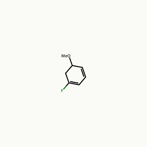 COC1C=CC=C(F)C1